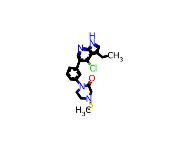 CCc1c[nH]c2ncc(-c3cccc(N4CCN(SC)CC4=O)c3)c(Cl)c12